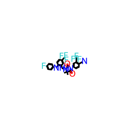 CC1(C)C(=O)N(c2ccc(C#N)c(C(F)(F)F)c2)C(=O)N1Cc1cc(C(F)(F)F)ccc1Nc1ccc(F)cc1